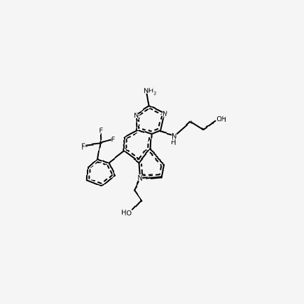 Nc1nc(NCCO)c2c(cc(-c3ccccc3C(F)(F)F)c3c2ccn3CCO)n1